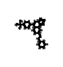 FC(F)(F)c1ccc(-c2cc3nnnn3c3cc(SCc4ccccc4)ccc23)cc1